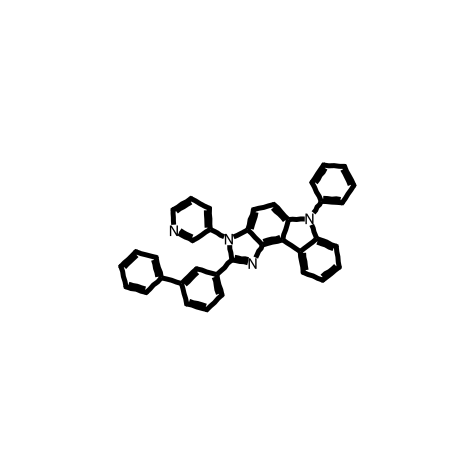 c1ccc(-c2cccc(-c3nc4c5c6ccccc6n(-c6ccccc6)c5ccc4n3-c3cccnc3)c2)cc1